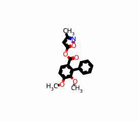 COc1ccc(C(=O)Oc2cc(C)no2)c(-c2ccccc2)c1OC